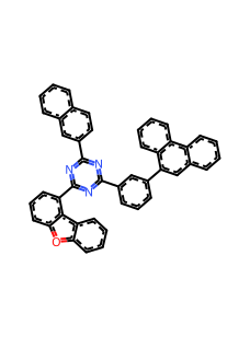 c1cc(-c2nc(-c3ccc4ccccc4c3)nc(-c3cccc4oc5ccccc5c34)n2)cc(-c2cc3ccccc3c3ccccc23)c1